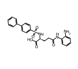 Nc1ccccc1NC(=O)CC[C@H](NS(=O)(=O)c1ccc(-c2ccccc2)cc1)C(=O)O